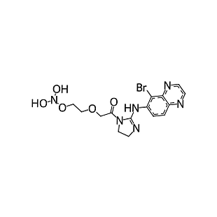 O=C(COCCON(O)O)N1CCN=C1Nc1ccc2nccnc2c1Br